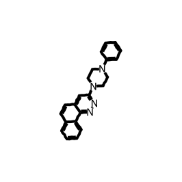 c1ccc(N2CCN(c3cc4ccc5ccccc5c4nn3)CC2)cc1